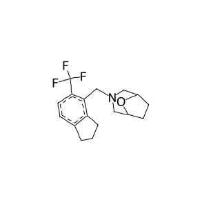 FC(F)(F)c1ccc2c(c1CN1CC3CCC(C1)O3)CCC2